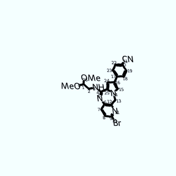 COC(CNC1=Nc2ccc(Br)nc2Cn2cc(-c3ccc(C#N)cc3)cc21)OC